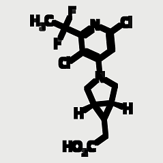 CC(F)(F)c1nc(Cl)cc(N2C[C@@H]3C(CC(=O)O)[C@@H]3C2)c1Cl